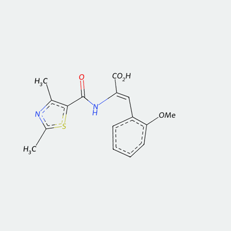 COc1ccccc1C=C(NC(=O)c1sc(C)nc1C)C(=O)O